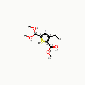 CCc1cc(C(OC)OC)sc1C(=O)OC